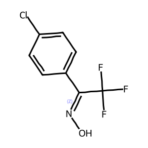 O/N=C(/c1ccc(Cl)cc1)C(F)(F)F